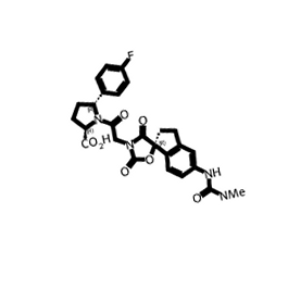 CNC(=O)Nc1ccc2c(c1)CC[C@@]21OC(=O)N(CC(=O)N2[C@@H](C(=O)O)CC[C@@H]2c2ccc(F)cc2)C1=O